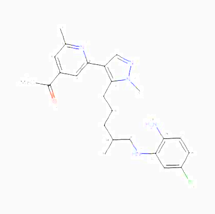 COC(=O)c1cc(C)nc(-c2cnn(C)c2CCCC(C)CNc2cc(Br)ccc2N)c1